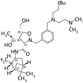 C[C@@H]1[C@@H](NC(=O)[C@@H]2[C@H]([C@H](C)O)[C@H](CO)ON2Cc2cccc(CN(CCN(C)C)CCC(C)(C)C)c2)C[C@H]2C[C@@H]1C2(C)C